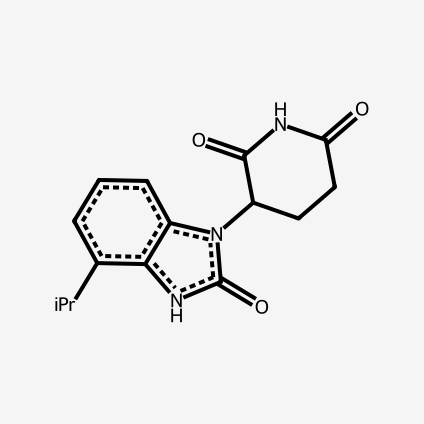 CC(C)c1cccc2c1[nH]c(=O)n2C1CCC(=O)NC1=O